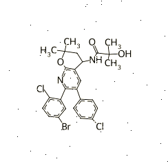 CC1(C)CC(NC(=O)C(C)(C)O)c2cc(-c3ccc(Cl)cc3)c(-c3cc(Br)ccc3Cl)nc2O1